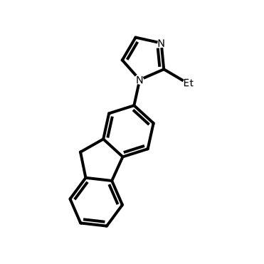 CCc1nccn1-c1ccc2c(c1)Cc1ccccc1-2